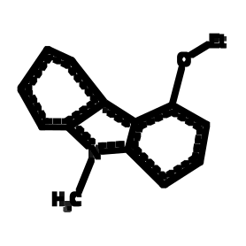 CCOc1cccc2c1c1ccccc1n2C